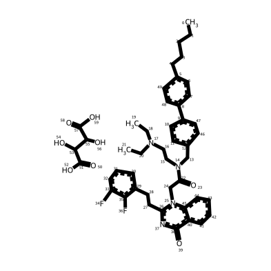 CCCCCc1ccc(-c2ccc(CN(CCN(CC)CC)C(=O)Cn3c(CCc4cccc(F)c4F)nc(=O)c4ccccc43)cc2)cc1.O=C(O)C(O)C(O)C(=O)O